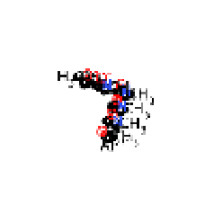 Cc1ccc2cccc([O-])c2n1.Cc1ccc2cccc([O-])c2n1.Cc1ccc2cccc([O-])c2n1.Cc1ccc2cccc([O-])c2n1.Cc1cccc(C)c1[O-].Cc1cccc([O-])c1C.[Al+3].[Al+3]